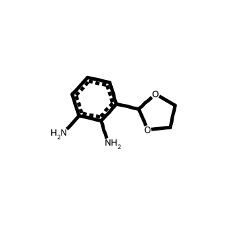 Nc1cccc(C2OCCO2)c1N